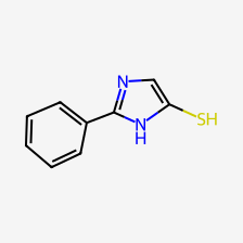 Sc1cnc(-c2ccccc2)[nH]1